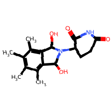 Cc1c(C)c(C)c2c(c1C)C(O)N(C1CCC(=O)NC1=O)C2O